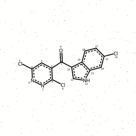 O=C(c1cc(Cl)nnc1Cl)c1c[nH]c2cc(Cl)ccc12